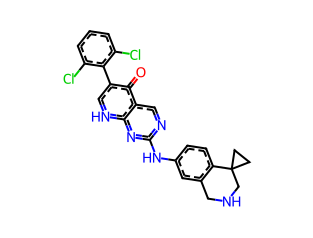 O=c1c(-c2c(Cl)cccc2Cl)c[nH]c2nc(Nc3ccc4c(c3)CNCC43CC3)ncc12